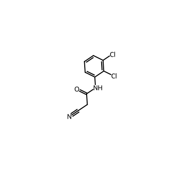 N#CCC(=O)Nc1cccc(Cl)c1Cl